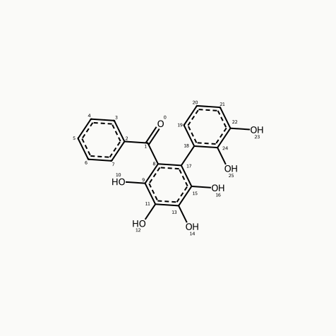 O=C(c1ccccc1)c1c(O)c(O)c(O)c(O)c1-c1cccc(O)c1O